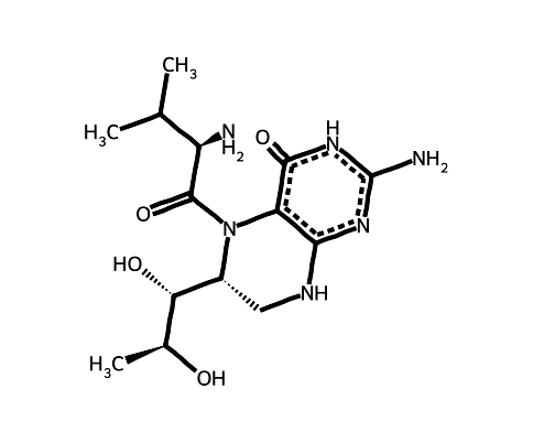 CC(C)[C@@H](N)C(=O)N1c2c(nc(N)[nH]c2=O)NC[C@@H]1[C@@H](O)[C@H](C)O